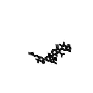 Cc1c(-c2[nH]c3ccc(N4[C@H]5CN(C(=O)CN(CCO)C(C)(C)C)C[C@@]56C[C@H](C)[C@H]46)nc3c2C(C)C)cn2ncnc2c1C